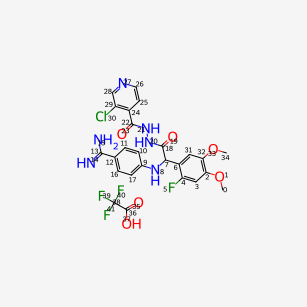 COc1cc(F)c(C(Nc2ccc(C(=N)N)cc2)C(=O)NNC(=O)c2ccncc2Cl)cc1OC.O=C(O)C(F)(F)F